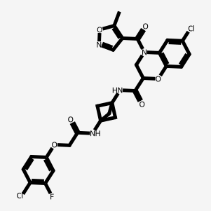 Cc1oncc1C(=O)N1CC(C(=O)NC23CC(NC(=O)COc4ccc(Cl)c(F)c4)(C2)C3)Oc2ccc(Cl)cc21